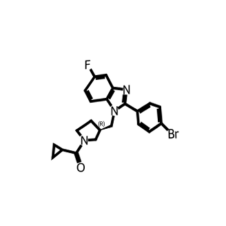 O=C(C1CC1)N1CC[C@@H](Cn2c(-c3ccc(Br)cc3)nc3cc(F)ccc32)C1